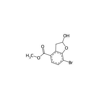 COC(=O)c1ccc(Br)c2c1CC(O)O2